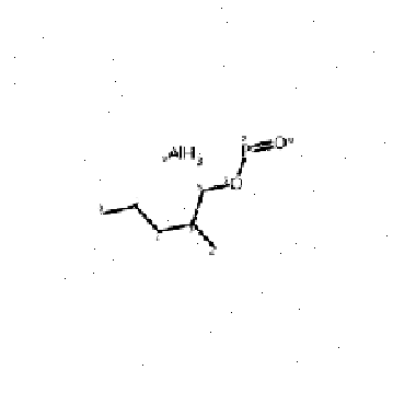 CCCC(C)COP=O.[AlH3]